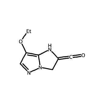 CCOc1cnn2c1NC(=C=O)C2